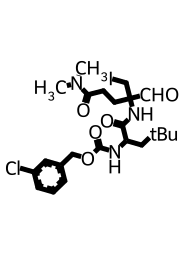 CN(C)C(=O)CCC(C=O)(CI)NC(=O)C(CC(C)(C)C)NC(=O)OCc1cccc(Cl)c1